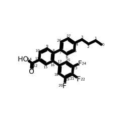 CCCCc1ccc(-c2ccc(C(=O)O)cc2-c2cc(F)c(F)c(F)c2)cc1